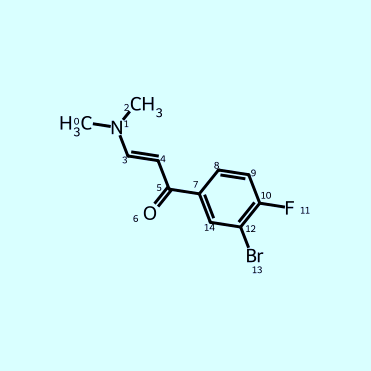 CN(C)C=CC(=O)c1ccc(F)c(Br)c1